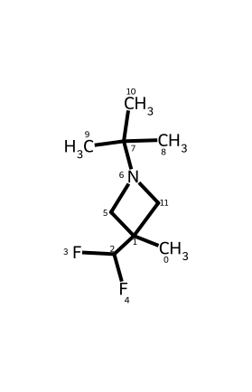 CC1(C(F)F)CN(C(C)(C)C)C1